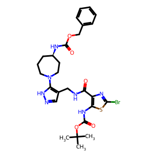 CC(C)(C)OC(=O)Nc1sc(Br)nc1C(=O)NCc1cn[nH]c1N1CCC[C@@H](NC(=O)OCc2ccccc2)CC1